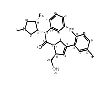 CN1C[C@@H](N(C(=O)N2CC(c3cc(F)ccc3F)=C[C@H]2CO)c2ccccc2)[C@@H](F)C1